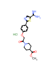 COC(=O)C1CCN(C(=O)COc2ccc(-c3ncc(C(=N)N)s3)cc2)CC1.Cl